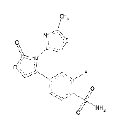 Cc1nc(-n2c(-c3ccc(S(N)(=O)=O)c(F)c3)coc2=O)cs1